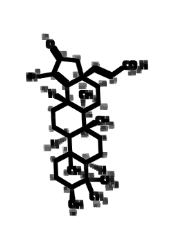 CC(C)C1=C2[C@H]3CC[C@@H]4C5(C)CC[C@H](O)C(C)(C)[C@@H]5CC[C@@]4(C)[C@]3(C)CC[C@@]2(C=CC(=O)O)CC1=O